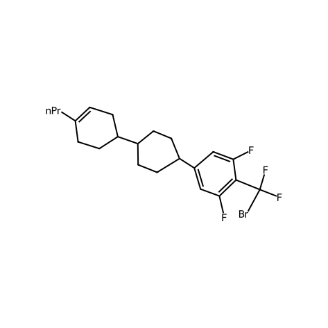 CCCC1=CCC(C2CCC(c3cc(F)c(C(F)(F)Br)c(F)c3)CC2)CC1